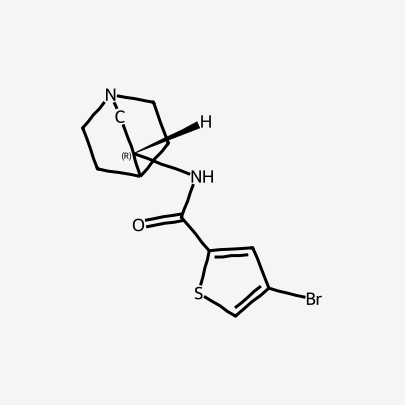 O=C(N[C@H]1CN2CCC1CC2)c1cc(Br)cs1